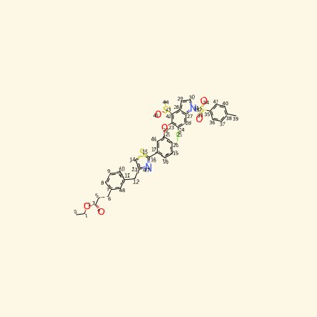 CCOC(=O)CCc1cccc(Cc2csc(-c3cccc(Oc4c(F)cc5c(ccn5S(=O)(=O)c5ccc(C)cc5)c4[S+](C)[O-])c3)n2)c1